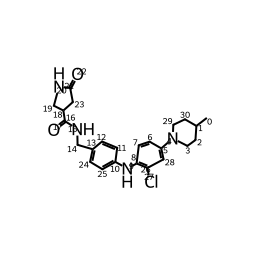 CC1CCN(c2ccc(Nc3ccc(CNC(=O)C4CNC(=O)C4)cc3)c(Cl)c2)CC1